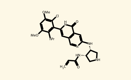 C=CC(=O)N[C@H]1CNC[C@H]1Nc1cc2c(=O)[nH]c(-c3c(Cl)c(OC)cc(OC)c3CCC)cc2cn1